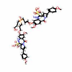 COc1ccc(C2=CN3C(=O)c4cc(OC)c(OCCCP(=O)(CCCO)CCCOc5cc6c(cc5OC)C(=O)N5C=C(c7ccc(OC)cc7)C[C@H]5C(S(=O)(=O)O)N6)cc4NC(S(=O)(=O)O)[C@@H]3C2)cc1